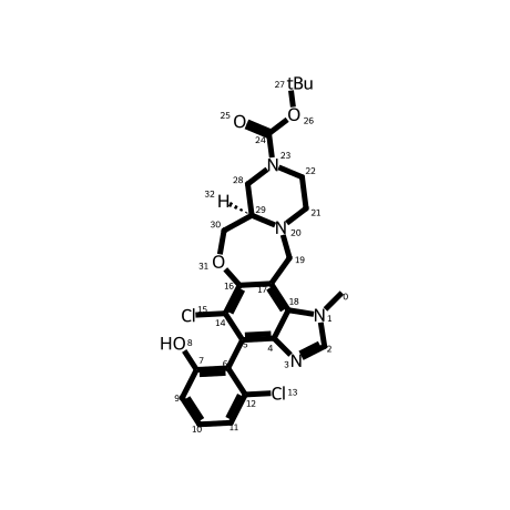 Cn1cnc2c(-c3c(O)cccc3Cl)c(Cl)c3c(c21)CN1CCN(C(=O)OC(C)(C)C)C[C@@H]1CO3